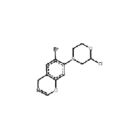 ClC1CN(c2cc3c(cc2Br)CN=CO3)CCO1